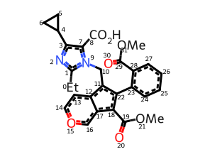 CCc1nc(C2CC2)c(C(=O)O)n1Cc1c2ccocc-2c(C(=O)OC)c1-c1ccccc1C(=O)OC